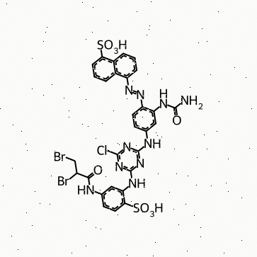 NC(=O)Nc1cc(Nc2nc(Cl)nc(Nc3cc(NC(=O)C(Br)CBr)ccc3S(=O)(=O)O)n2)ccc1N=Nc1cccc2c(S(=O)(=O)O)cccc12